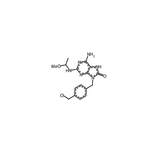 COC(C)Nc1nc(N)c2[nH]c(=O)n(Cc3ccc(CCl)cc3)c2n1